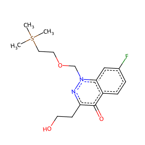 CS(C)(C)CCOCn1nc(CCO)c(=O)c2ccc(F)cc21